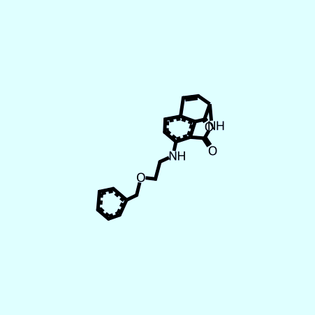 O=C1NC2C=Cc3ccc(NCCOCc4ccccc4)c1c3C2=O